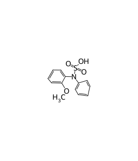 COc1ccccc1N(c1ccccc1)S(=O)(=O)O